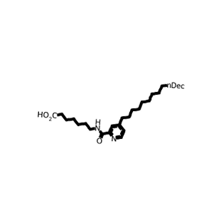 CCCCCCCCCCCCCCCCCCCc1ccnc(C(=O)NCCCCCCC(=O)O)c1